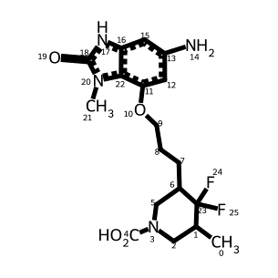 CC1CN(C(=O)O)CC(CCCOc2cc(N)cc3[nH]c(=O)n(C)c23)C1(F)F